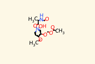 CC(NC=O)C(=O)O.COc1ccncc1OCOC(C)=O